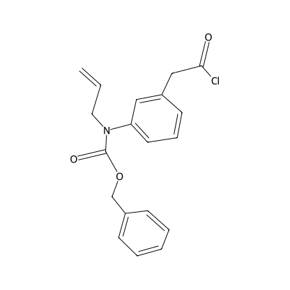 C=CCN(C(=O)OCc1ccccc1)c1cccc(CC(=O)Cl)c1